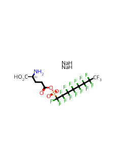 N[C@@H](CCC(=O)OS(=O)(=O)C(F)(F)C(F)(F)C(F)(F)C(F)(F)C(F)(F)C(F)(F)C(F)(F)C(F)(F)F)C(=O)O.[NaH].[NaH]